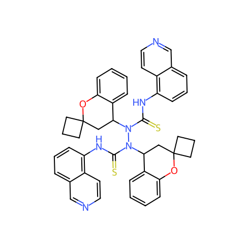 S=C(Nc1cccc2cnccc12)N(C1CC2(CCC2)Oc2ccccc21)N(C(=S)Nc1cccc2cnccc12)C1CC2(CCC2)Oc2ccccc21